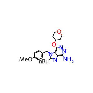 CCCCc1nc2c(N)nnc(OC3CCOCC3)c2n1Cc1ccc(OC)cc1